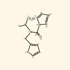 CCOC(=O)C(C)N(Cc1ccco1)C(=O)n1ccnn1